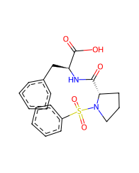 O=C(O)[C@H](Cc1ccccc1)NC(=O)[C@@H]1CCCN1S(=O)(=O)c1ccccc1